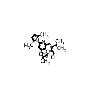 C=CCO[C@@H](C=O)[C@H](Cc1cc(C)cc(-n2c(C)ccc2C)n1)C(C)C